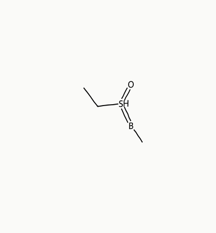 CB=[SH](=O)CC